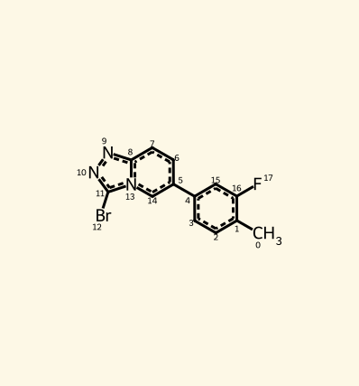 Cc1ccc(-c2ccc3nnc(Br)n3c2)cc1F